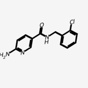 Nc1ccc(C(=O)NCc2ccccc2Cl)cn1